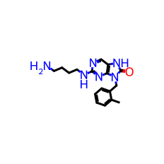 Cc1ccccc1Cn1c(=O)[nH]c2cnc(NCCCCN)nc21